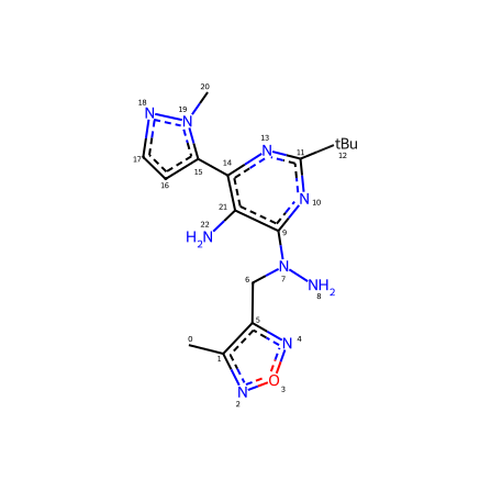 Cc1nonc1CN(N)c1nc(C(C)(C)C)nc(-c2ccnn2C)c1N